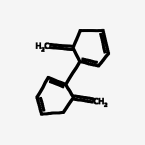 C=C1CC=CC=C1C1=CC=CCC1=C